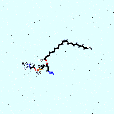 C=C(CCCCCCCC/C=C\CCCCCCCC)OC(CCN)CC[PH](C)(C)OCC[N+](C)(C)C